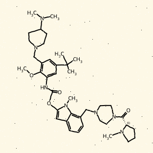 COc1c(CN2CCC(N(C)C)CC2)cc(C(C)(C)C)cc1NC(=O)Oc1cc2cccc(CN3CCN(C(=O)[C@@H]4CCCN4C)CC3)c2n1C